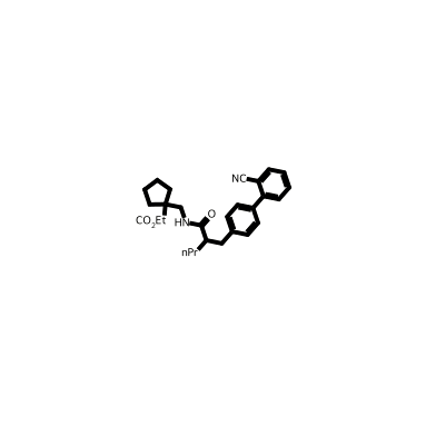 CCCC(Cc1ccc(-c2ccccc2C#N)cc1)C(=O)NCC1(C(=O)OCC)CCCC1